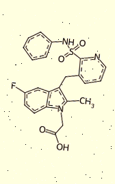 Cc1c(Cc2cccnc2S(=O)(=O)Nc2ccccc2)c2cc(F)ccc2n1CC(=O)O